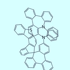 c1ccc(N(c2ccc3c(c2)C2(c4ccccc4-c4ccccc4-3)c3ccccc3-c3c2ccc2sc4ccccc4c32)c2cccc3c2N(c2ccccc2)c2ccccc2-c2ccccc2-3)cc1